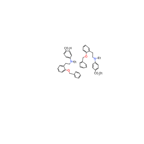 CCN(CCc1ccccc1OCc1ccccc1)c1ccc(C(=O)O)cc1.CCOC(=O)c1ccc(N(CC)CCc2ccccc2OCc2ccccc2)cc1